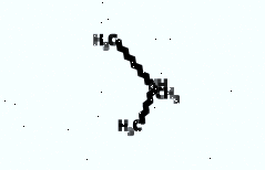 CCCCCCCCCCCNC(C)CCCCCCC